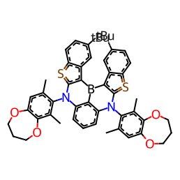 Cc1cc2c(c(C)c1N1c3cccc4c3B(c3c1sc1ccc(C(C)(C)C)cc31)c1c(sc3ccc(C(C)(C)C)cc13)N4c1c(C)cc3c(c1C)OCCCO3)OCCCO2